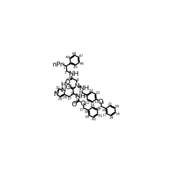 CCCC(CNC(=O)CN(NCc1ccc(OCc2ccccc2)cc1)C(=O)C(Cc1cnc[nH]1)NC(=O)OCc1ccccc1)c1ccccc1